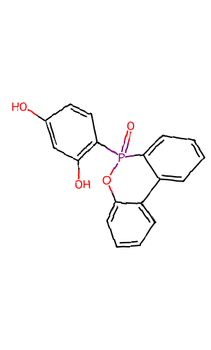 O=P1(c2ccc(O)cc2O)Oc2ccccc2-c2ccccc21